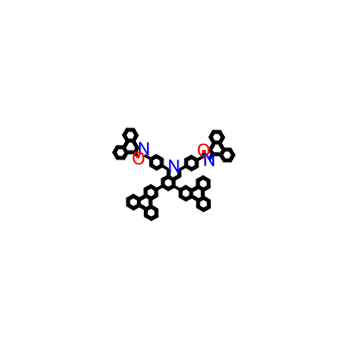 c1ccc2c(c1)c1ccccc1c1cc(-c3cc(-c4ccc5c6ccccc6c6ccccc6c5c4)c4cc(-c5ccc(-c6nc7c8ccccc8c8ccccc8c7o6)cc5)nc(-c5ccc(-c6nc7c8ccccc8c8ccccc8c7o6)cc5)c4c3)ccc21